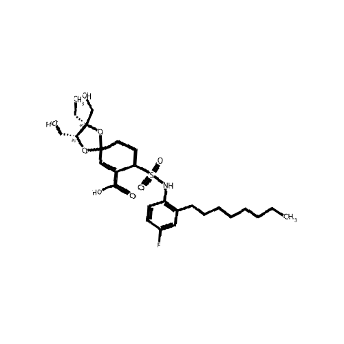 CCCCCCCCc1cc(F)ccc1NS(=O)(=O)C1CCC2(C=C1C(=O)O)O[C@H](CO)[C@@](CC)(CO)O2